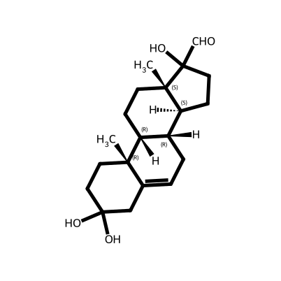 C[C@]12CCC(O)(O)CC1=CC[C@@H]1[C@H]2CC[C@@]2(C)[C@H]1CCC2(O)C=O